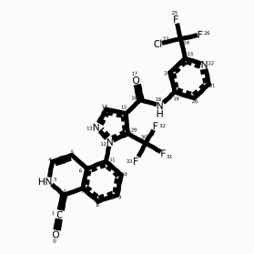 O=C=C1NC=Cc2c1cccc2-n1ncc(C(=O)Nc2ccnc(C(F)(F)Cl)c2)c1C(F)(F)F